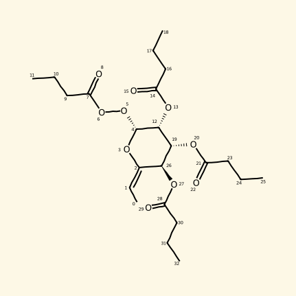 C/C=C1/O[C@H](OOC(=O)CCC)[C@H](OC(=O)CCC)[C@H](OC(=O)CCC)[C@H]1OC(=O)CCC